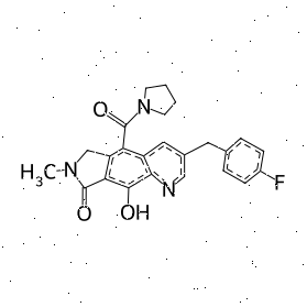 CN1Cc2c(c(O)c3ncc(Cc4ccc(F)cc4)cc3c2C(=O)N2CCCC2)C1=O